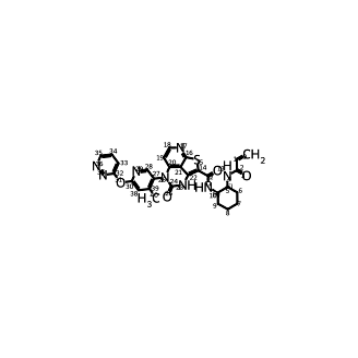 C=CC(=O)N[C@H]1CCCC[C@H]1NC(=O)c1sc2nccc3c2c1NC(=O)N3c1cnc(Oc2cccnn2)cc1C